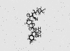 CC1(C)CCN(C(C)(C)C=C(C#N)C(=O)N2CCCC(OC(=O)NC(Cc3ccc(F)cc3)B(O)O)C2)C1